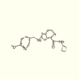 COc1ccc(CNc2cc3c(C(=O)NC4CCC4)nccc3s2)cn1